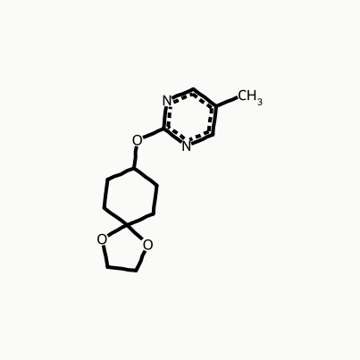 Cc1cnc(OC2CCC3(CC2)OCCO3)nc1